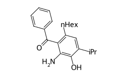 CCCCCCc1cc(C(C)C)c(O)c(N)c1C(=O)c1ccccc1